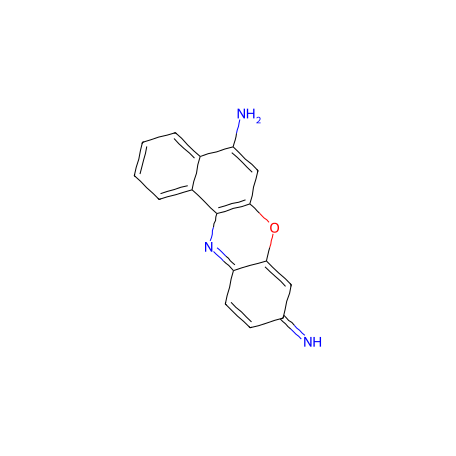 N=c1ccc2nc3c(cc(N)c4ccccc43)oc-2c1